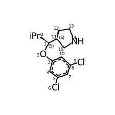 CC(C)[C@H](Oc1cc(Cl)cc(Cl)c1)[C@H]1CCNC1